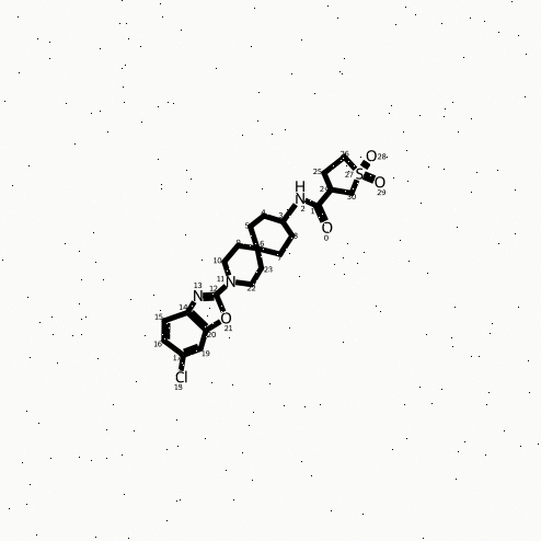 O=C(NC1CCC2(CC1)CCN(c1nc3ccc(Cl)cc3o1)CC2)C1CCS(=O)(=O)C1